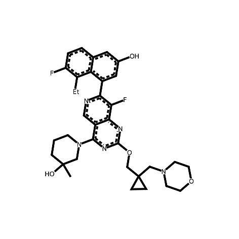 CCc1c(F)ccc2cc(O)cc(-c3ncc4c(N5CCCC(C)(O)C5)nc(OCC5(CN6CCOCC6)CC5)nc4c3F)c12